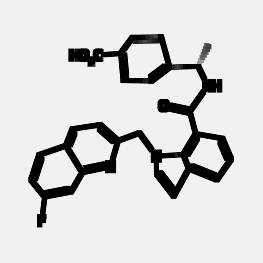 C[C@H](NC(=O)c1cccc2ccn(Cc3ccc4ccc(F)cc4n3)c12)c1ccc(C(=O)O)cc1